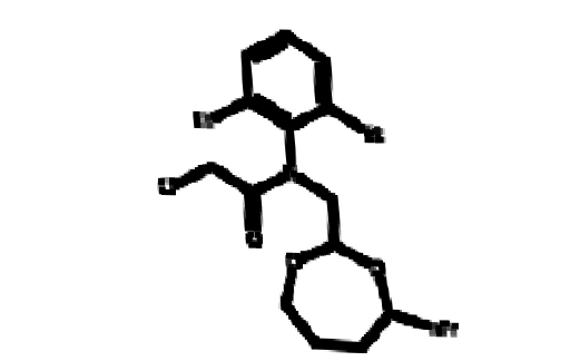 CCCC1CCCOC(CN(C(=O)CCl)c2c(CC)cccc2CC)O1